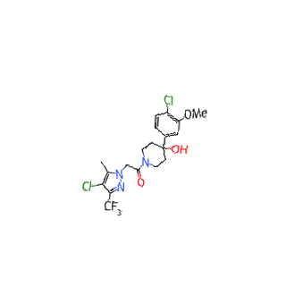 COc1cc(C2(O)CCN(C(=O)Cn3nc(C(F)(F)F)c(Cl)c3C)CC2)ccc1Cl